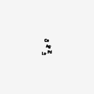 [Ag].[Ce].[La].[Pd]